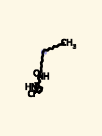 CCCCCCCC/C=C\CCCCCCCC(=O)NCCc1c[nH]c2c(Cl)cccc12